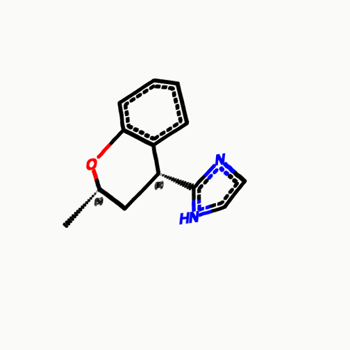 C[C@H]1C[C@@H](c2ncc[nH]2)c2ccccc2O1